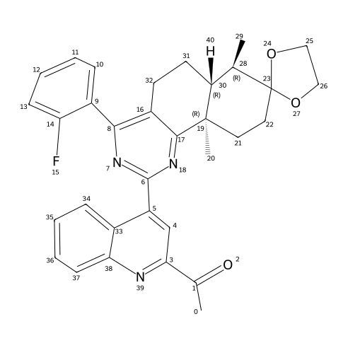 CC(=O)c1cc(-c2nc(-c3ccccc3F)c3c(n2)[C@]2(C)CCC4(OCCO4)[C@H](C)[C@H]2CC3)c2ccccc2n1